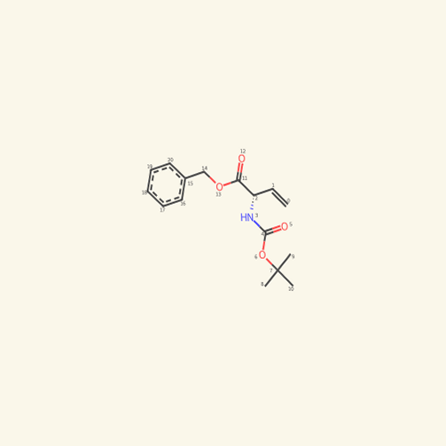 C=C[C@H](NC(=O)OC(C)(C)C)C(=O)OCc1ccccc1